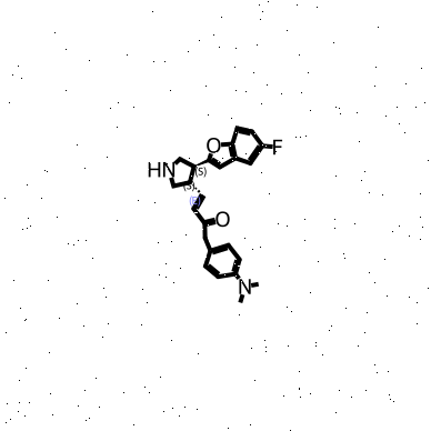 CN(C)c1ccc(CC(=O)/C=C/[C@@H]2CNC[C@H]2c2cc3cc(F)ccc3o2)cc1